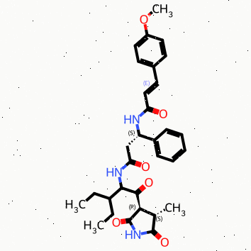 CCC(CC)C(NC(=O)C[C@H](NC(=O)/C=C/c1ccc(OC)cc1)c1ccccc1)C(=O)[C@@H]1C(=O)NC(=O)[C@H]1C